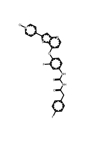 O=C(Cc1ccc(F)cc1)NC(=S)Nc1ccc(Oc2ccnc3cc(-c4cc[n+]([O-])cc4)sc23)c(F)c1